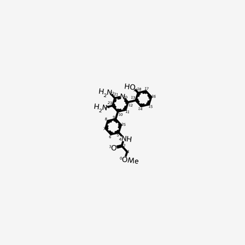 COCC(=O)Nc1cccc(-c2cc(-c3ccccc3O)nc(N)c2N)c1